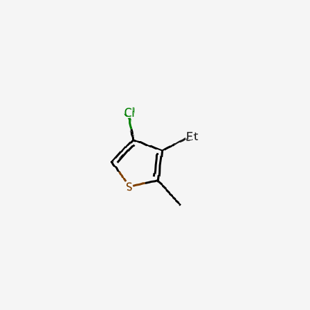 CCc1c(Cl)csc1C